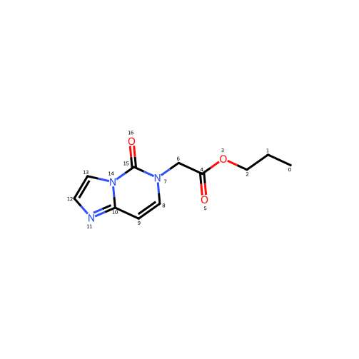 CCCOC(=O)Cn1ccc2nccn2c1=O